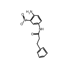 Nc1ccc(NC(=O)CCc2ccccc2)cc1[N+](=O)[O-]